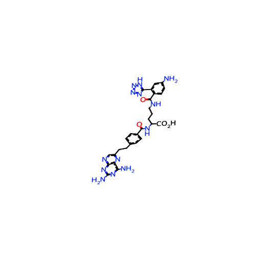 Nc1ccc(C(=O)NCCCC(NC(=O)c2ccc(CCc3cnc4nc(N)nc(N)c4n3)cc2)C(=O)O)c(-c2nnn[nH]2)c1